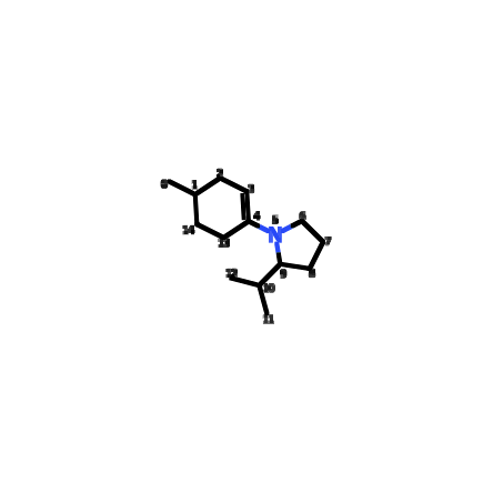 CC1CC=C(N2CCCC2C(C)C)CC1